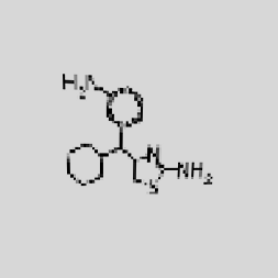 NC1=NC(C(c2cccc(N)c2)C2CCCCC2)CS1